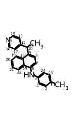 Cc1ccc(Nc2ccc(C(C)c3ccncc3)c3ccccc23)cc1